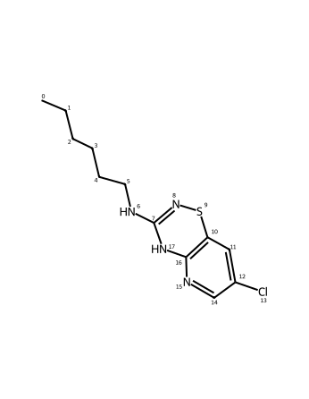 CCCCCCNC1=NSc2cc(Cl)cnc2N1